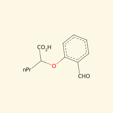 CCCC(Oc1ccccc1C=O)C(=O)O